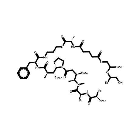 CCC(CO)OC(COC(=O)CCCC(=O)N[C@@H](C)C(=O)OCCCNC(=O)[C@H](Cc1ccccc1)NC(=O)[C@H](C)[C@@H](OC)[C@@H]1CCCN1C(=O)C[C@@H](OC)[C@H](C)N(C)C(=O)[C@@H](NC(=O)[C@@H](NC)C(C)C)C(C)C)OC